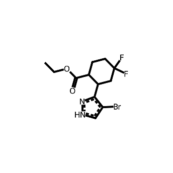 CCOC(=O)C1CCC(F)(F)CC1c1n[nH]cc1Br